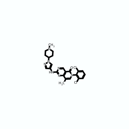 Cc1cn(-c2c(Cl)cccc2Cl)c(=O)c2cnc(Nc3cnn(C4CCN(C)CC4)c3)nc12